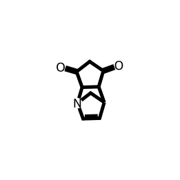 O=C1CC(=O)C2C1C1C=CN2C1